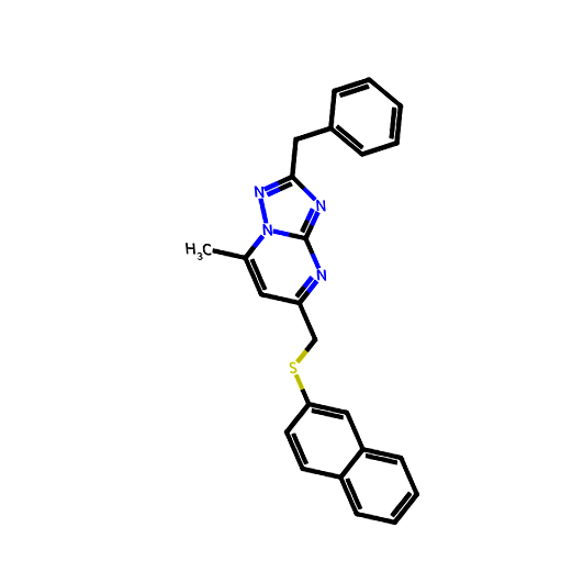 Cc1cc(CSc2ccc3ccccc3c2)nc2nc(Cc3ccccc3)nn12